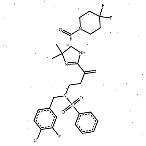 C=C(CCN(Cc1ccc(Cl)c(F)c1)S(=O)(=O)c1ccccc1)C1=NC(C)(C)[C@H](C(=O)N2CCC(F)(F)CC2)N1